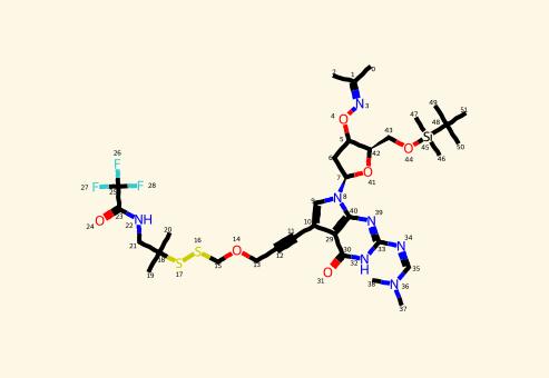 CC(C)=NOC1C[C@H](n2cc(C#CCOCSSC(C)(C)CNC(=O)C(F)(F)F)c3c(=O)[nH]c(/N=C\N(C)C)nc32)O[C@@H]1CO[Si](C)(C)C(C)(C)C